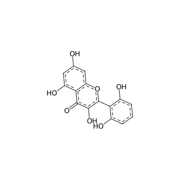 O=c1c(O)c(-c2c(O)cccc2O)oc2cc(O)cc(O)c12